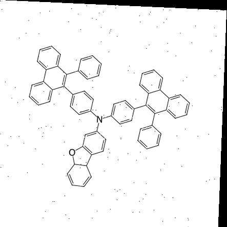 C1=CC2Oc3cc(N(c4ccc(-c5c(-c6ccccc6)c6ccccc6c6ccccc56)cc4)c4ccc(-c5c(-c6ccccc6)c6ccccc6c6ccccc56)cc4)ccc3C2C=C1